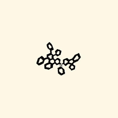 C1=CC(N(c2ccccc2)c2ccc3c(c2)C2(CCCC2)c2ccccc2-3)Cc2c1c1c(-c3ccccc3)c(-c3ccccc3)cc(-c3ccccc3)c1c1ccccc21